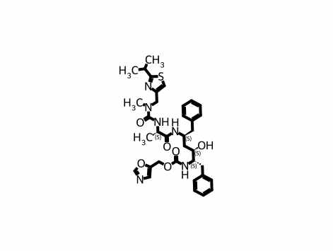 CC(C)c1nc(CN(C)C(=O)N[C@@H](C)C(=O)N[C@@H](Cc2ccccc2)C[C@H](O)[C@H](Cc2ccccc2)NC(=O)OCc2cnco2)cs1